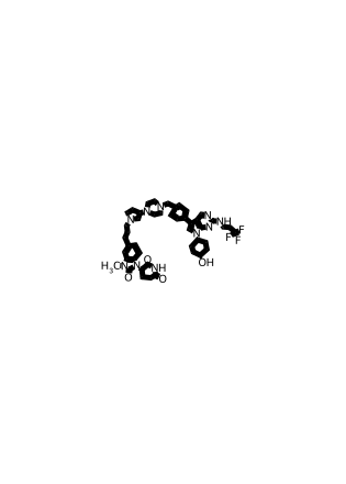 Cn1c(=O)n(C2CCC(=O)NC2=O)c2ccc(CCCN3CCC(N4CCN(Cc5ccc(-c6cn([C@H]7CC[C@H](O)CC7)c7nc(NCCC(F)(F)F)ncc67)cc5)CC4)C3)cc21